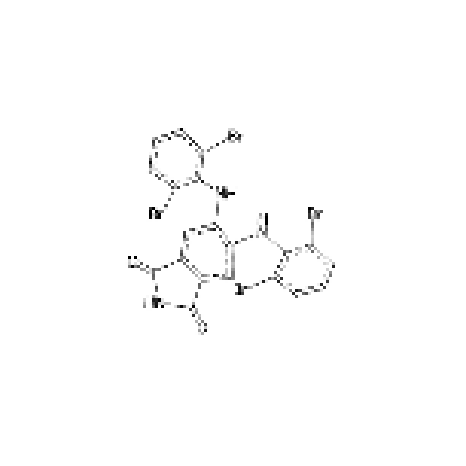 O=C1NC(=O)c2cc(Nc3c(Br)cccc3Br)c(Nc3c(Br)cccc3Br)cc21